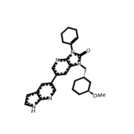 CO[C@H]1CCC[C@H](Cn2c(=O)n(C3=CCCCC3)c3ncc(-c4cnc5[nH]ccc5c4)cc32)C1